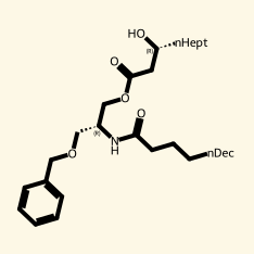 CCCCCCCCCCCCCC(=O)N[C@H](COCc1ccccc1)COC(=O)C[C@H](O)CCCCCCC